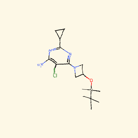 CC(C)(C)[Si](C)(C)OC1CN(c2nc(C3CC3)nc(N)c2Cl)C1